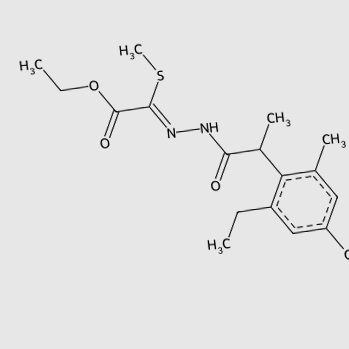 CCOC(=O)C(=NNC(=O)C(C)c1c(C)cc(C)cc1CC)SC